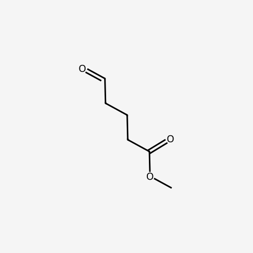 COC(=O)CCCC=O